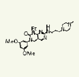 CCN1C(=O)N(c2cc(OC)cc(OC)c2)Cc2cnc(NCCCN3CCN(C)CC3)nc21